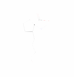 CNC1(C(=O)O)CCCC1CCCBO